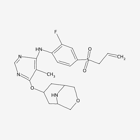 C=CCS(=O)(=O)c1ccc(Nc2ncnc(OC3CC4COCC(C3)N4)c2C)c(F)c1